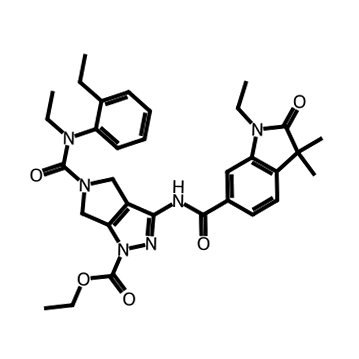 CCOC(=O)n1nc(NC(=O)c2ccc3c(c2)N(CC)C(=O)C3(C)C)c2c1CN(C(=O)N(CC)c1ccccc1CC)C2